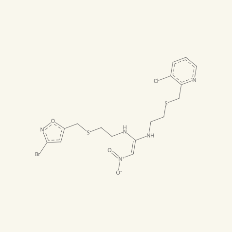 O=[N+]([O-])/C=C(\NCCSCc1cc(Br)no1)NCCSCc1ncccc1Cl